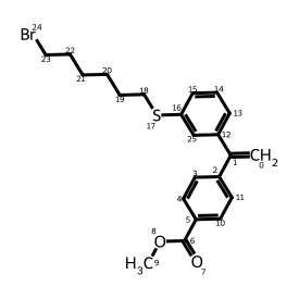 C=C(c1ccc(C(=O)OC)cc1)c1cccc(SCCCCCCBr)c1